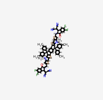 Cc1ccc(C2(c3ccc(C)cc3)c3cc4c(cc3-c3sc5c6sc(/C=C7\C(=O)c8cc(F)c(F)cc8C7=C(C#N)C#N)cc6n(C)c5c32)C(c2ccc(C)cc2)(c2ccc(C)cc2)c2c-4sc3c4sc(/C=C5\C(=O)c6cc(F)c(F)cc6C5=C(C#N)C#N)cc4n(C)c23)cc1